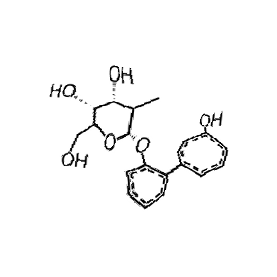 CC1[C@H](Oc2ccccc2-c2cccc(O)c2)OC(CO)[C@H](O)[C@@H]1O